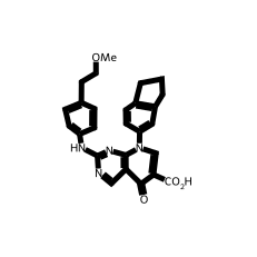 COCCc1ccc(Nc2ncc3c(=O)c(C(=O)O)cn(-c4ccc5c(c4)CCC5)c3n2)cc1